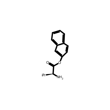 CC(C)[C@H](N)C(=O)Oc1ccc2ccccc2c1